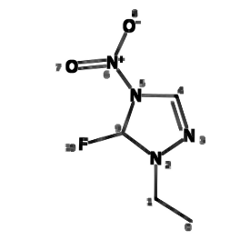 CCN1N=CN([N+](=O)[O-])C1F